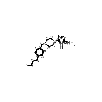 CCCCc1ccc(CN2CCN(c3nnc(N)[nH]3)CC2)cc1